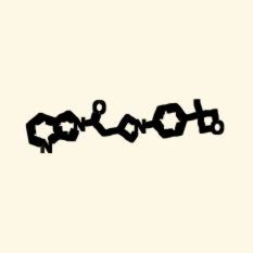 CC1(c2ccc(N3CC(CC(=O)n4cc5cccnc5c4)C3)cc2)COC1